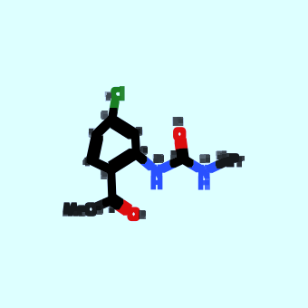 COC(=O)c1ccc(Cl)cc1NC(=O)NC(C)C